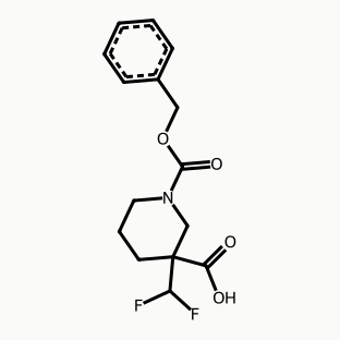 O=C(OCc1ccccc1)N1CCCC(C(=O)O)(C(F)F)C1